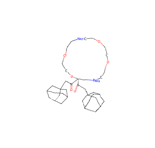 O=C(CC12CC3CC(CC(C3)C1)C2)C1(C(=O)CC23CC4CC(CC(C4)C2)C3)CNCCOCCOCCNCCOCCO1